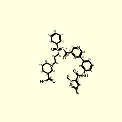 Cc1cc(C(=O)Nc2cccc(-c3cncc(C(=O)N=[S@](=O)(CCCN4CCCC(C(=O)O)C4)C4C=CC=CC4)c3)c2)n(C)n1